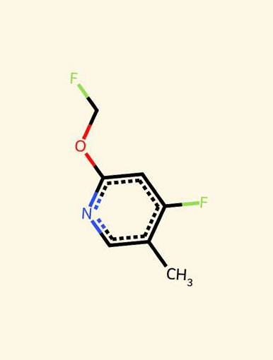 Cc1cnc(OCF)cc1F